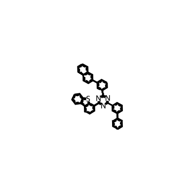 c1ccc(-c2cccc(-c3nc(-c4cccc(-c5ccc6ccccc6c5)c4)nc(-c4cccc5c4sc4ccccc45)n3)c2)cc1